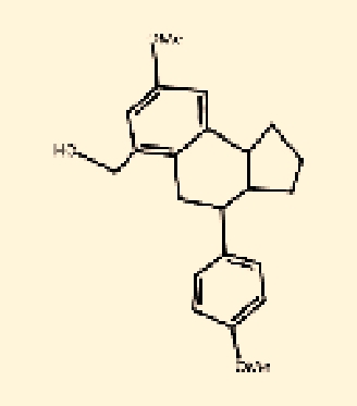 COc1ccc(C2Cc3c(CO)cc(OC)cc3C3CCCC23)cc1